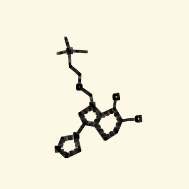 C[Si](C)(C)CCOCn1cc(-n2ccnc2)c2ccc(Cl)c(Cl)c21